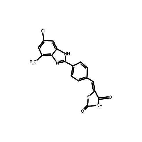 O=C1NC(=O)C(=Cc2ccc(-c3nc4c(C(F)(F)F)cc(Cl)cc4[nH]3)cc2)S1